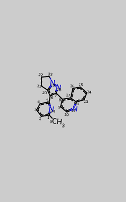 Cc1cccc(-c2c(-c3ccnc4ccccc34)nn3c2CCC3)n1